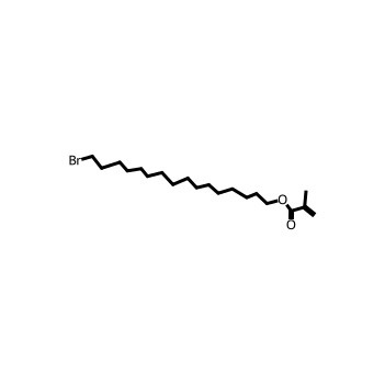 C=C(C)C(=O)OCCCCCCCCCCCCCCCCBr